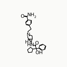 NC(=O)c1ccc(CCN2CC3[C@H](C2)[C@H]3NC(=O)C(O)(c2ccccc2)C2CCCC2)cc1